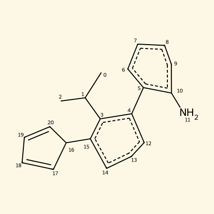 CC(C)c1c(-c2ccccc2N)cccc1C1C=CC=C1